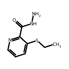 CCSc1cccnc1C(=O)NN